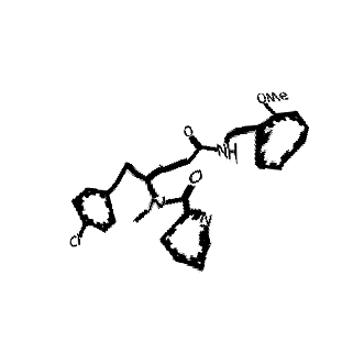 COc1ccccc1CNC(=O)C=CC(Cc1ccc(Cl)cc1)N(C)C(=O)c1ccccn1